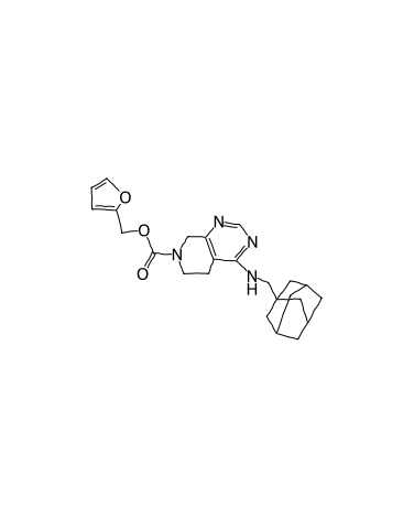 O=C(OCc1ccco1)N1CCc2c(ncnc2NCC23CC4CC(CC(C4)C2)C3)C1